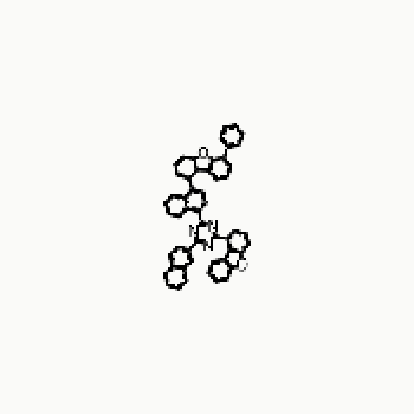 C1=CC2Oc3c(-c4ccccc4)cccc3C2C(c2ccc(-c3nc(-c4ccc5ccccc5c4)nc(-c4cccc5oc6ccccc6c45)n3)c3ccccc23)=C1